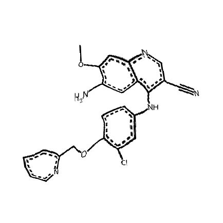 COc1cc2ncc(C#N)c(Nc3ccc(OCc4ccccn4)c(Cl)c3)c2cc1N